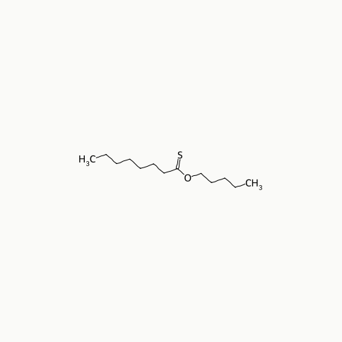 CCCCCCCC(=S)OCCCCC